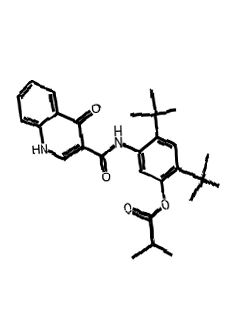 CC(C)C(=O)Oc1cc(NC(=O)c2c[nH]c3ccccc3c2=O)c(C(C)(C)C)cc1C(C)(C)C